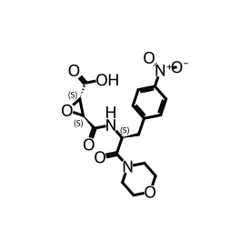 O=C(O)[C@H]1O[C@@H]1C(=O)N[C@@H](Cc1ccc([N+](=O)[O-])cc1)C(=O)N1CCOCC1